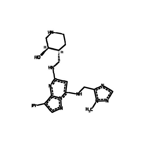 CC(C)c1cnn2c(NCc3ncnn3C)cc(NC[C@H]3CCNC[C@@H]3O)nc12